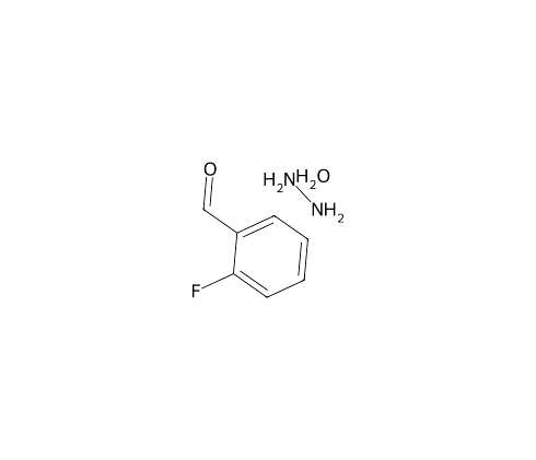 NN.O.O=Cc1ccccc1F